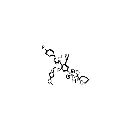 COC1CN(CC[C@H](CSc2ccc(F)cc2)Nc2c(F)cc(S(=O)(=O)NC(=O)[C@@]3(C)CCCCO3)cc2C#N)C1